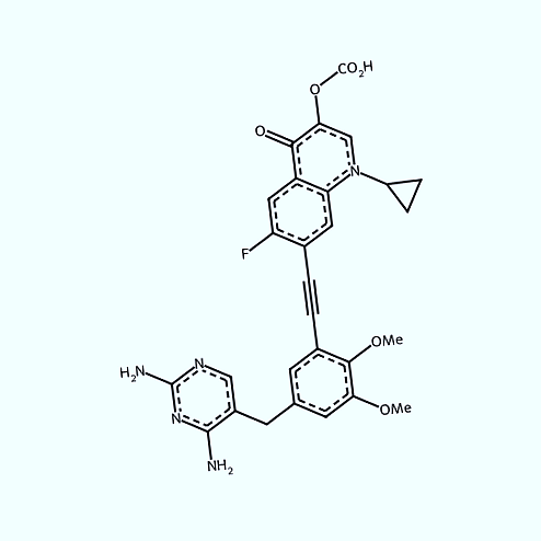 COc1cc(Cc2cnc(N)nc2N)cc(C#Cc2cc3c(cc2F)c(=O)c(OC(=O)O)cn3C2CC2)c1OC